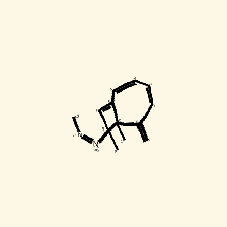 C=C1C=CC=CC2=CC(C)(/N=N\C)C12C